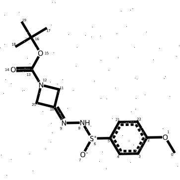 COc1ccc([S+]([O-])NN=C2CN(C(=O)OC(C)(C)C)C2)cc1